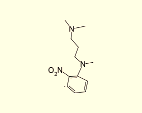 CN(C)CCCN(C)c1ccc[c]c1[N+](=O)[O-]